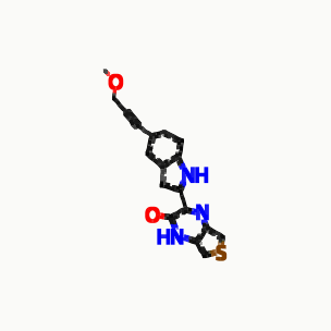 COCC#Cc1ccc2[nH]c(-c3nc4cscc4[nH]c3=O)cc2c1